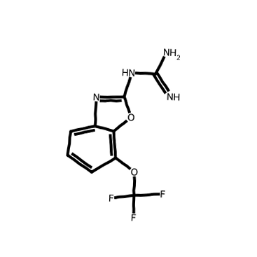 N=C(N)Nc1nc2cccc(OC(F)(F)F)c2o1